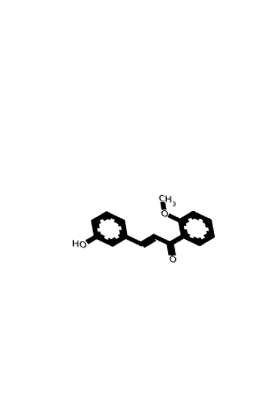 COc1ccccc1C(=O)/C=C/c1cccc(O)c1